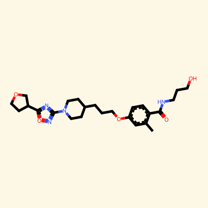 Cc1cc(OCCCC2CCN(c3noc(C4CCOC4)n3)CC2)ccc1C(=O)NCCCO